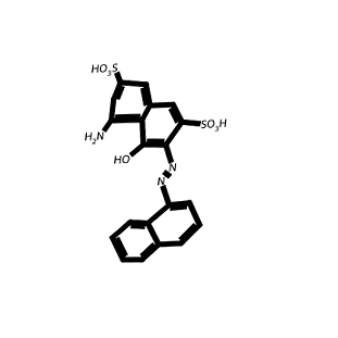 Nc1cc(S(=O)(=O)O)cc2cc(S(=O)(=O)O)c(N=Nc3cccc4ccccc34)c(O)c12